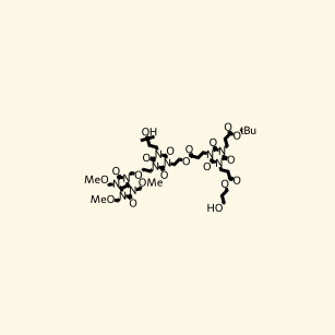 COCN1C(=O)N(COC)C2C1N(COC)C(=O)N2COCCn1c(=O)n(CCOC(=O)CCn2c(=O)n(CCC(=O)OCCCO)c(=O)n(CCC(=O)OC(C)(C)C)c2=O)c(=O)n(CCC(C)(C)O)c1=O